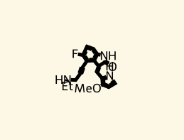 CCNCC#Cc1c(F)ccc2c1/C(=C/c1[nH]ccc1OC)C(=O)N2